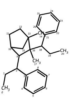 CCC(c1ccccc1)C1C2CCC(C)(C2)C1(C)C(CC)c1ccccc1